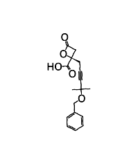 CC(C)(C#CC[C@]1(C(=O)O)CC(=O)O1)OCc1ccccc1